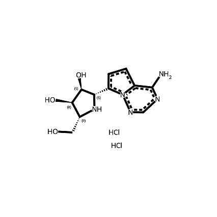 Cl.Cl.Nc1ncnn2c([C@@H]3N[C@H](CO)[C@@H](O)[C@H]3O)ccc12